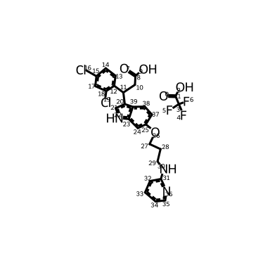 O=C(O)C(F)(F)F.O=C(O)CC(c1ccc(Cl)cc1Cl)c1c[nH]c2cc(OCCCNc3ccccn3)ccc12